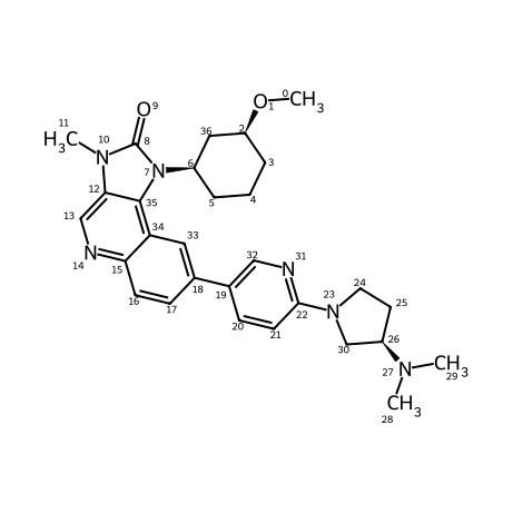 CO[C@H]1CCC[C@@H](n2c(=O)n(C)c3cnc4ccc(-c5ccc(N6CC[C@@H](N(C)C)C6)nc5)cc4c32)C1